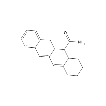 NC(=O)C1C2Cc3ccccc3C=C2C=C2CCCCC21